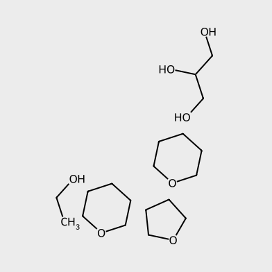 C1CCOC1.C1CCOCC1.C1CCOCC1.CCO.OCC(O)CO